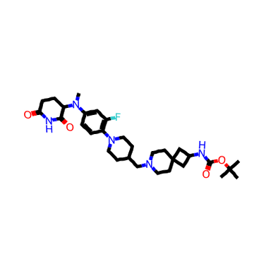 CN(c1ccc(N2CCC(CN3CCC4(CC3)CC(NC(=O)OC(C)(C)C)C4)CC2)c(F)c1)C1CCC(=O)NC1=O